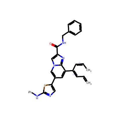 C=C/C=C(\C=C/C)c1cc(-c2cnc(NC(C)C)s2)cn2cc(C(=O)NCc3ccccc3)nc12